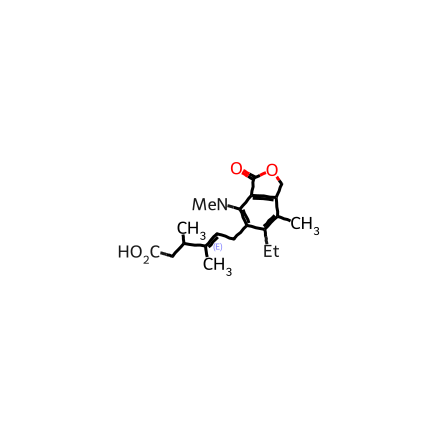 CCc1c(C)c2c(c(NC)c1C/C=C(\C)C(C)CC(=O)O)C(=O)OC2